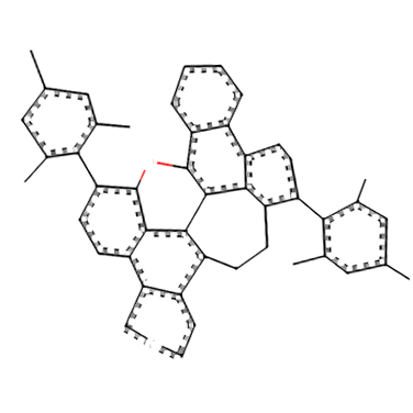 Cc1cc(C)c(-c2ccc3c4c2CCc2c5c6c(c(-c7c(C)cc(C)cc7C)ccc6c6ccccc26)Oc(c4-5)c2ccccc23)c(C)c1